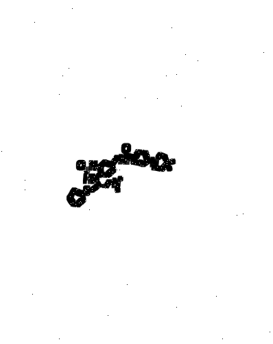 CN(C)CC[C@H](CSc1ccccc1)Nc1ccc(CNC(=O)c2ccc(N3CCC(C)(C)CC3)cc2)cc1[N+](=O)[O-]